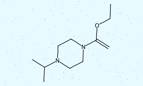 C=C(OCC)N1CCN(C(C)C)CC1